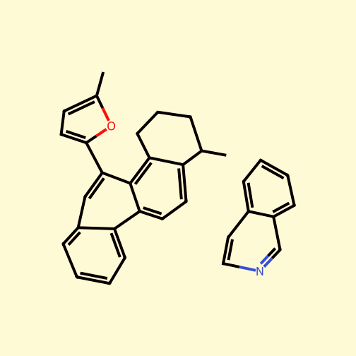 Cc1ccc(-c2cc3ccccc3c3ccc4c(c23)CCCC4C)o1.c1ccc2cnccc2c1